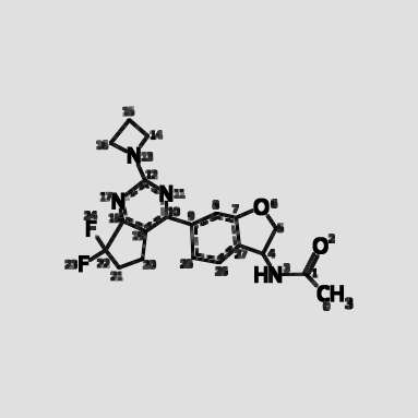 CC(=O)NC1COc2cc(-c3nc(N4CCC4)nc4c3CCC4(F)F)ccc21